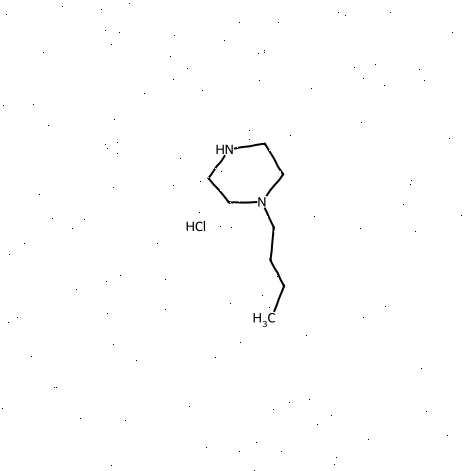 CCCCN1CCNCC1.Cl